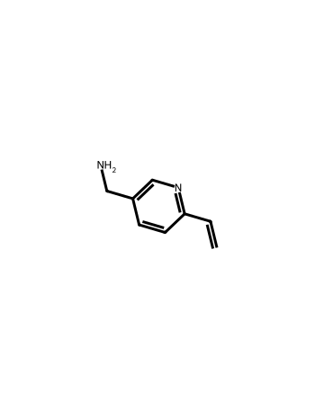 C=Cc1ccc(CN)cn1